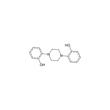 Oc1ccccc1N1CCN(c2ccccc2O)CC1